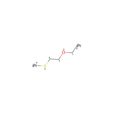 CC(C)COCCSC(C)C